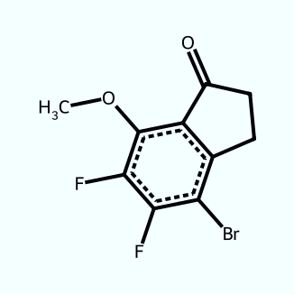 COc1c(F)c(F)c(Br)c2c1C(=O)CC2